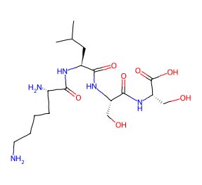 CC(C)C[C@H](NC(=O)[C@@H](N)CCCCN)C(=O)N[C@@H](CO)C(=O)N[C@@H](CO)C(=O)O